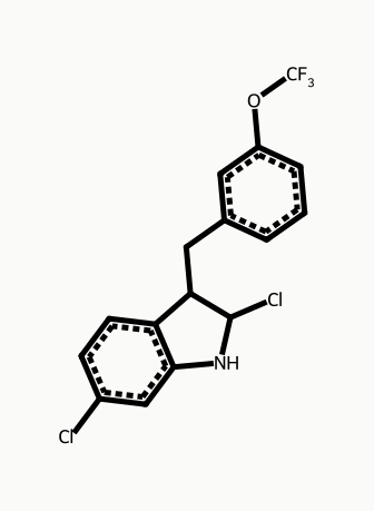 FC(F)(F)Oc1cccc(CC2c3ccc(Cl)cc3NC2Cl)c1